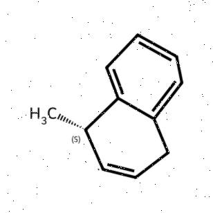 C[C@H]1[C]=CCc2ccccc21